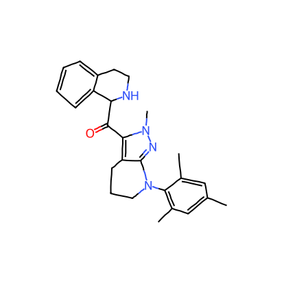 Cc1cc(C)c(N2CCCc3c2nn(C)c3C(=O)C2NCCc3ccccc32)c(C)c1